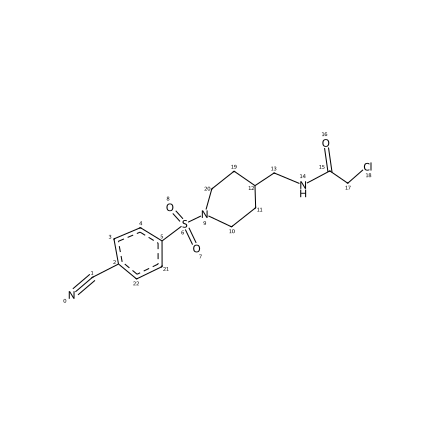 N#Cc1ccc(S(=O)(=O)N2CCC(CNC(=O)CCl)CC2)cc1